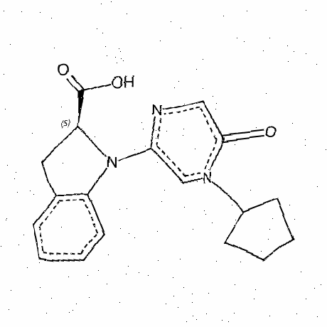 O=C(O)[C@@H]1Cc2ccccc2N1c1cn(C2CCCC2)c(=O)cn1